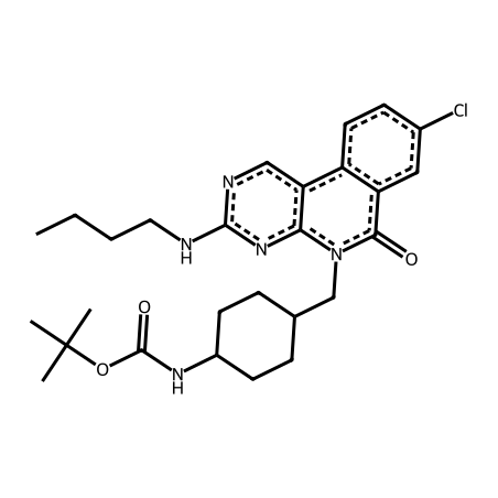 CCCCNc1ncc2c3ccc(Cl)cc3c(=O)n(CC3CCC(NC(=O)OC(C)(C)C)CC3)c2n1